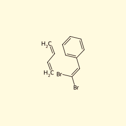 BrC(Br)=Cc1ccccc1.C=CC=C